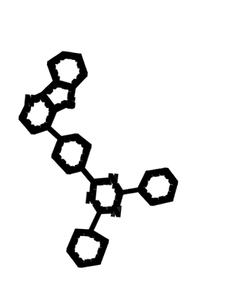 c1ccc(-c2nc(-c3ccccc3)nc(-c3ccc(-c4ccnc5c4sc4ccccc45)cc3)n2)cc1